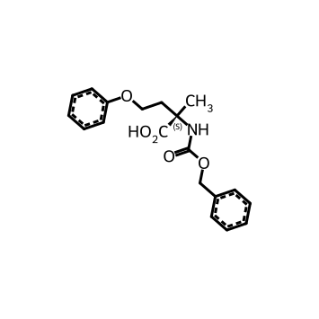 C[C@@](CCOc1ccccc1)(NC(=O)OCc1ccccc1)C(=O)O